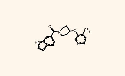 O=C(c1ccc2cc[nH]c2c1)N1CCC(Oc2cnccc2C(F)(F)F)CC1